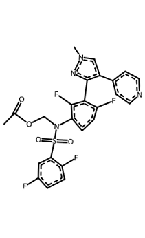 CC(=O)OCN(c1ccc(F)c(-c2nn(C)cc2-c2ccncc2)c1F)S(=O)(=O)c1cc(F)ccc1F